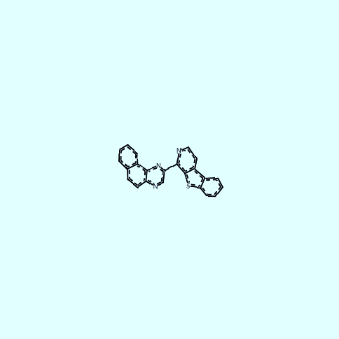 c1ccc2c(c1)ccc1ncc(-c3nccc4c3sc3ccccc34)nc12